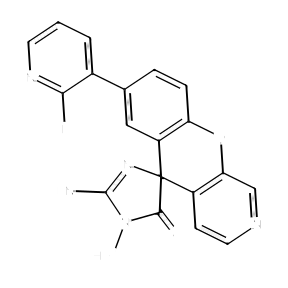 CN1C(=O)C2(N=C1N)c1ccncc1Oc1ccc(-c3cccnc3F)cc12